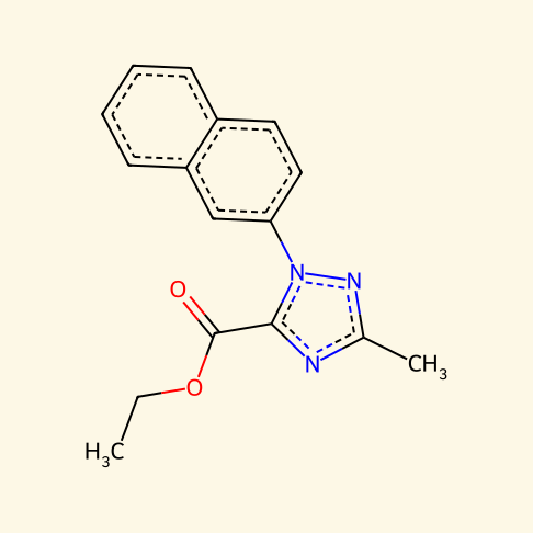 CCOC(=O)c1nc(C)nn1-c1ccc2ccccc2c1